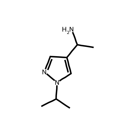 CC(N)c1cnn(C(C)C)c1